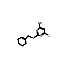 Nc1cc(Cl)nc(SCC2=CCCCC2)n1